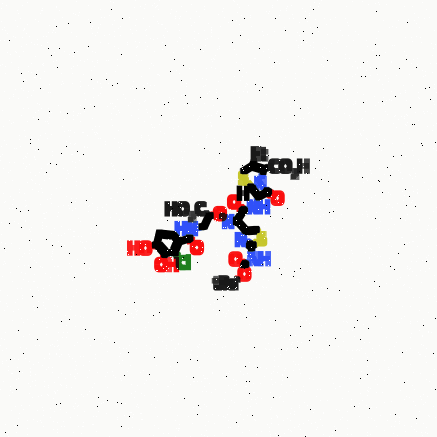 CCC1=C(C(=O)O)N2C(=O)[C@@H](NC(=O)/C(=N\O[C@@H](CNC(=O)c3ccc(O)c(O)c3Cl)C(=O)O)c3csc(NC(=O)OC(C)(C)C)n3)[C@H]2SC1